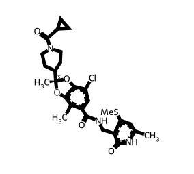 CSc1cc(C)[nH]c(=O)c1CNC(=O)c1cc(Cl)c2c(c1C)O[C@](C)(C1CCN(C(=O)C3CC3)CC1)O2